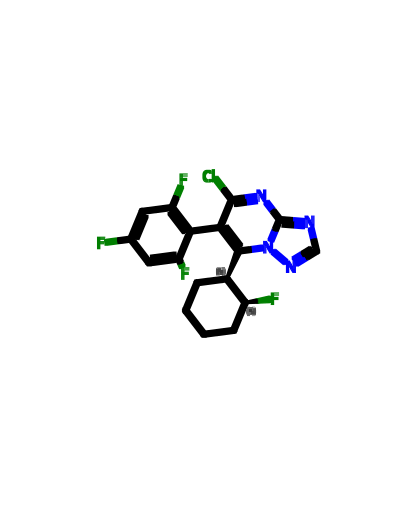 Fc1cc(F)c(-c2c(Cl)nc3ncnn3c2[C@@H]2CCCC[C@@H]2F)c(F)c1